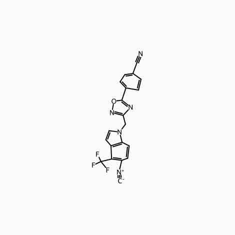 [C-]#[N+]c1ccc2c(ccn2Cc2noc(-c3ccc(C#N)cc3)n2)c1C(F)(F)F